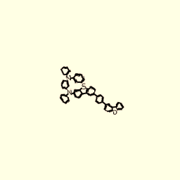 c1ccc(N(c2ccccc2)c2cccc(N(c3ccccc3)c3ccc4c(c3)sc3ccc(-c5ccc(-c6ccc7oc8ccccc8c7c6)cc5)cc34)c2)cc1